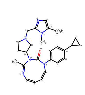 Cc1nccccn(-c2ccc(C3CC3)cc2)c(=O)n1C1CCN(Cc2ncc(C(=O)O)n2C)C1